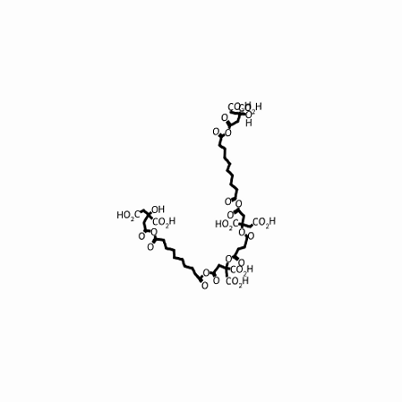 O=C(O)CC(O)(CC(=O)OC(=O)CCCCCCCCC(=O)OC(=O)CC(CC(=O)O)(OC(=O)CCC(=O)OC(CC(=O)O)(CC(=O)OC(=O)CCCCCCCCC(=O)OC(=O)CC(O)(CC(=O)O)C(=O)O)C(=O)O)C(=O)O)C(=O)O